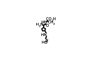 C[C@H](NC(=O)[C@@H](N)C1CCC(CNCC=NO)C1)C(=O)O